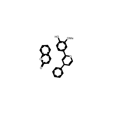 COc1cc(C2=CC(c3ccccc3)C=CO2)ccc1O.O=c1ccc2ccccc2o1